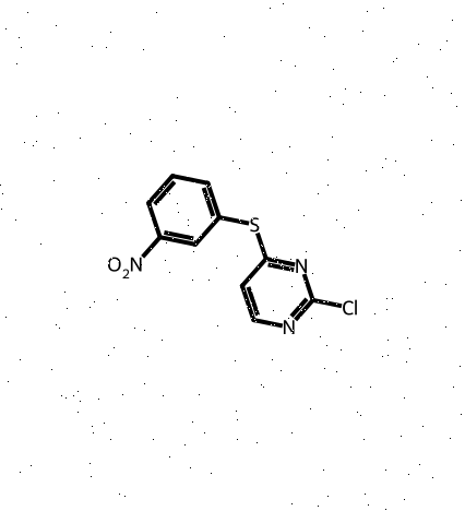 O=[N+]([O-])c1cccc(Sc2ccnc(Cl)n2)c1